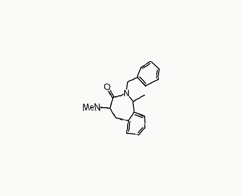 CNC1Cc2ccccc2C(C)N(Cc2ccccc2)C1=O